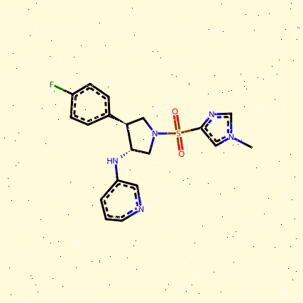 Cn1cnc(S(=O)(=O)N2C[C@H](Nc3cccnc3)[C@@H](c3ccc(F)cc3)C2)c1